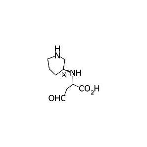 O=CCC(N[C@H]1CCCNC1)C(=O)O